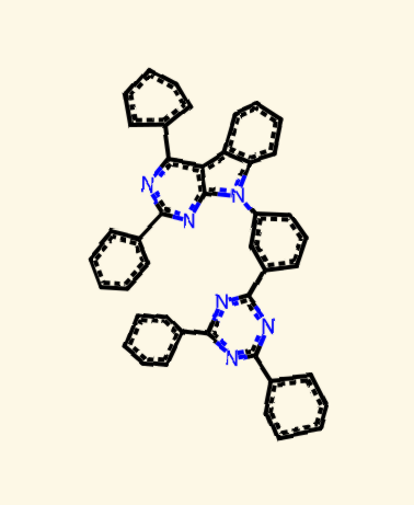 c1ccc(-c2nc(-c3ccccc3)nc(-c3cccc(-n4c5ccccc5c5c(-c6ccccc6)nc(-c6ccccc6)nc54)c3)n2)cc1